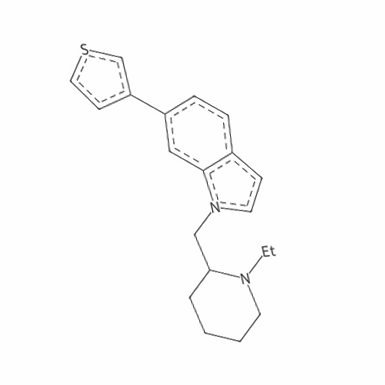 CCN1CCCCC1Cn1ccc2ccc(-c3ccsc3)cc21